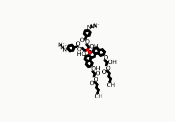 C#CCCCC(=O)OCC(O)COc1ccc2ccc(OCC(O)COC(=O)c3ccc(N=[N+]=[N-])cc3)c(Cc3c(OCC(O)COC(=O)c4ccc(N=[N+]=[N-])cc4)ccc4ccc(OCC(O)COC(=O)CCCC#C)cc34)c2c1